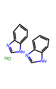 Cl.c1ccc2[nH]cnc2c1.c1ccc2[nH]cnc2c1